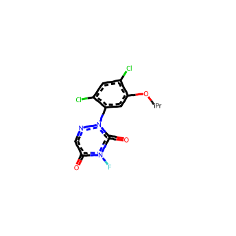 CC(C)Oc1cc(-n2ncc(=O)n(F)c2=O)c(Cl)cc1Cl